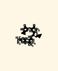 CC(C)(C)OC(=O)N[C@H](C(=O)N[C@@H](CC1(F)CC1)C(=O)N[C@@H](C[C@@H]1CC2(CC2)NC1=O)C(N)=O)C(C)(C)C